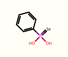 OP(O)(=[Se])c1ccccc1